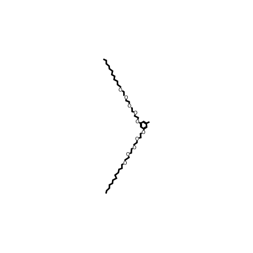 CCCCCCCCCCCCOCCOCCOCCOCCOc1cc(C)cc(OCCOCCOCCOCCOCCCCCCCCCCCC)c1